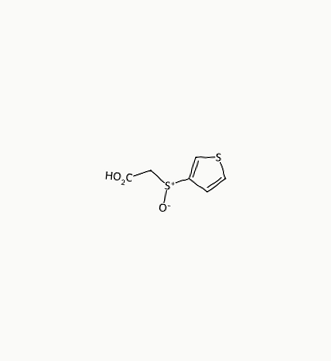 O=C(O)C[S+]([O-])c1ccsc1